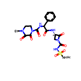 CCN1CCN(C(=O)NC(C(=O)N[C@H]2CN(C(=O)NS(=O)(=O)NC(C)=O)C2=O)c2ccccc2)C(=O)C1=O